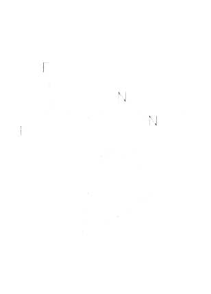 Cn1nc(C(F)F)c2c1CC1CC21